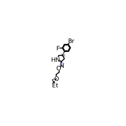 CCSOCCO/N=C1/C[C@H](c2ccc(Br)cc2F)CN1